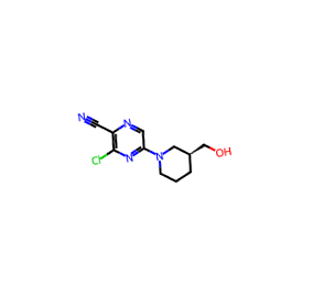 N#Cc1ncc(N2CCC[C@H](CO)C2)nc1Cl